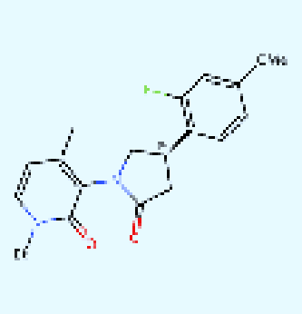 CCn1ccc(C)c(N2C[C@@H](c3ccc(OC)cc3F)CC2=O)c1=O